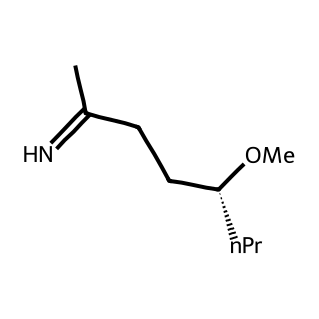 CCC[C@H](CCC(C)=N)OC